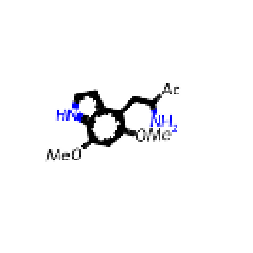 COc1cc(OC)c2[nH]ccc2c1CC(N)C(C)=O